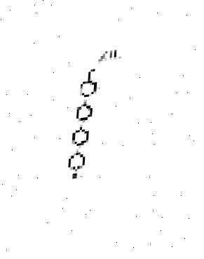 C=CCCC1=CCC(c2ccc(-c3ccc(C4CCC(CC)CC4)cc3)cc2)CC1